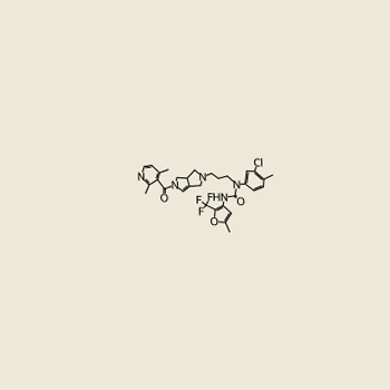 Cc1cc(NC(=O)N(CCCN2CC3=CN(C(=O)c4c(C)ccnc4C)CC3C2)c2ccc(C)c(Cl)c2)c(C(F)(F)F)o1